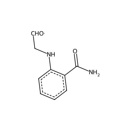 NC(=O)c1ccccc1NC[C]=O